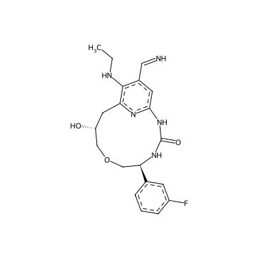 CCNc1c(C=N)cc2nc1C[C@@H](O)COC[C@H](c1cccc(F)c1)NC(=O)N2